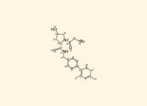 CC1=CC(C)=C(c2ccc(CNC(=O)[C@@H]3CC(O)CN3C(=O)CC(C)(C)C)cc2)SC1